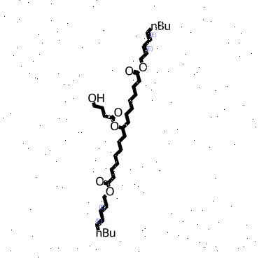 CCCC/C=C/C=C/COC(=O)CCCCCCCC(CCCCCCCC(=O)OC/C=C/C=C/CCCC)OC(=O)CCCO